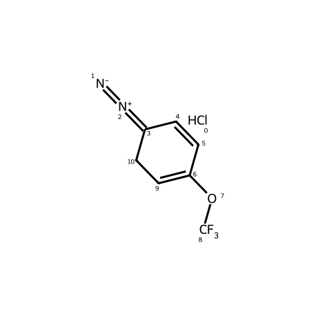 Cl.[N-]=[N+]=C1C=CC(OC(F)(F)F)=CC1